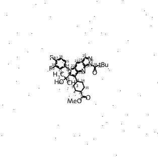 COC(=O)C1CCC(c2c(C(C)(C)O)n(-c3ccc(F)c(F)c3)c3cc4cnn(C(=O)C(C)(C)C)c4nc23)CC1